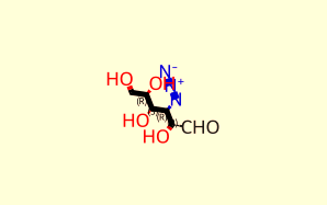 [N-]=[N+]=N[C@H]([C@H](O)[C@H](O)CO)[C@@H](O)C=O